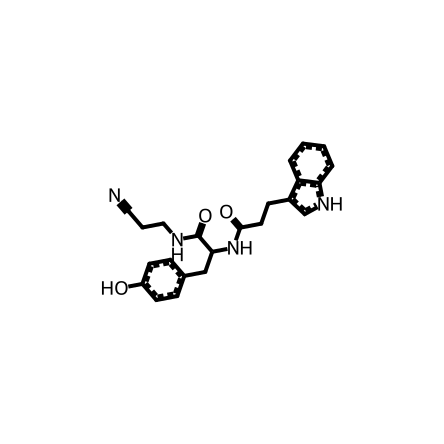 N#CCCNC(=O)C(Cc1ccc(O)cc1)NC(=O)CCc1c[nH]c2ccccc12